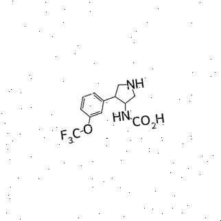 O=C(O)NC1CNCC1c1cccc(OC(F)(F)F)c1